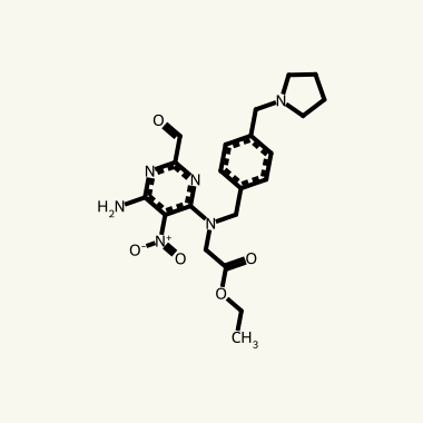 CCOC(=O)CN(Cc1ccc(CN2CCCC2)cc1)c1nc(C=O)nc(N)c1[N+](=O)[O-]